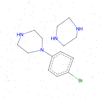 Brc1ccc(N2CCNCC2)cc1.C1CNCCN1